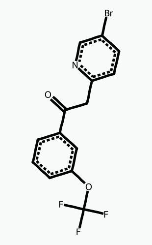 O=C(Cc1ccc(Br)cn1)c1cccc(OC(F)(F)F)c1